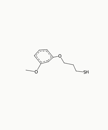 COc1cccc(OCCCS)c1